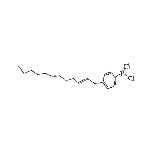 CCCCCCCCC/C=C/Cc1ccc(P(Cl)Cl)cc1